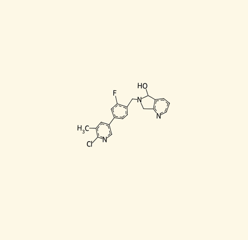 Cc1cc(-c2ccc(CN3Cc4ncccc4C3O)c(F)c2)cnc1Cl